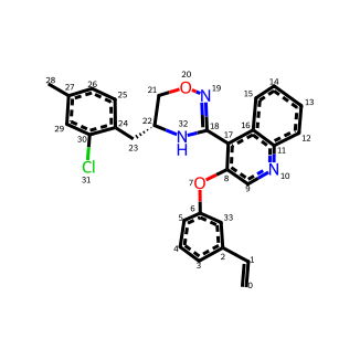 C=Cc1cccc(Oc2cnc3ccccc3c2C2=NOC[C@@H](Cc3ccc(C)cc3Cl)N2)c1